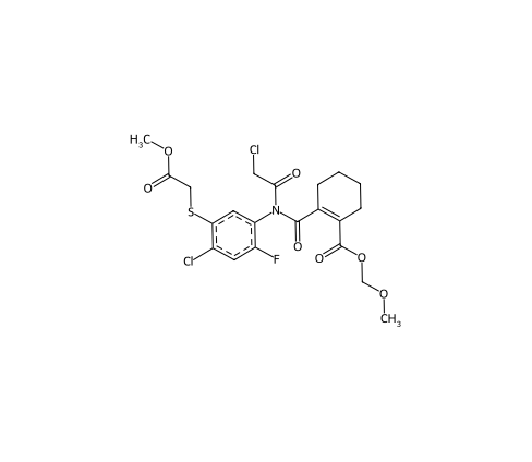 COCOC(=O)C1=C(C(=O)N(C(=O)CCl)c2cc(SCC(=O)OC)c(Cl)cc2F)CCCC1